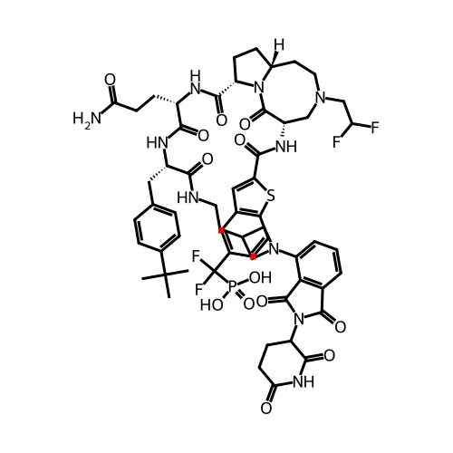 CC(C)(C)c1ccc(C[C@H](NC(=O)[C@H](CCC(N)=O)NC(=O)[C@@H]2CC[C@@H]3CCN(CC(F)F)C[C@H](NC(=O)c4cc5cc(C(F)(F)P(=O)(O)O)ccc5s4)C(=O)N32)C(=O)NCCC2CN(c3cccc4c3C(=O)N(C3CCC(=O)NC3=O)C4=O)C2)cc1